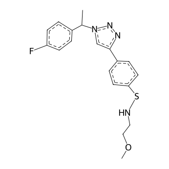 COCCNSc1ccc(-c2cn(C(C)c3ccc(F)cc3)nn2)cc1